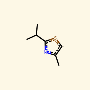 Cc1[c]sc(C(C)C)n1